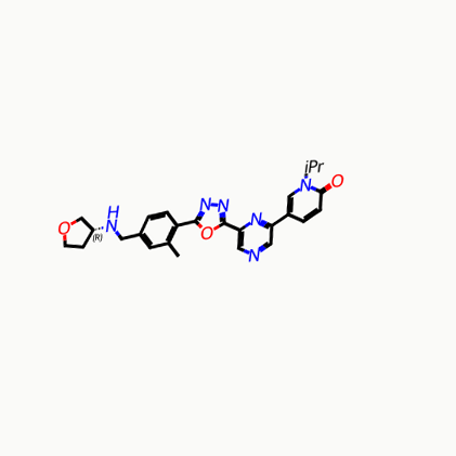 Cc1cc(CN[C@@H]2CCOC2)ccc1-c1nnc(-c2cncc(-c3ccc(=O)n(C(C)C)c3)n2)o1